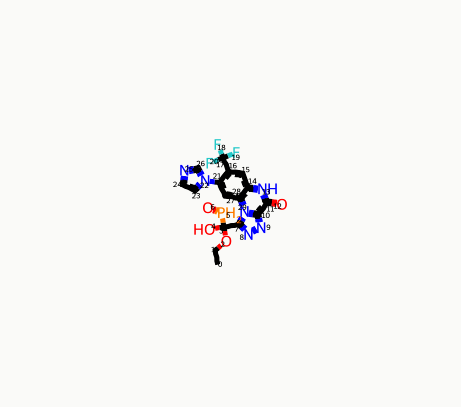 CCOC(O)([PH2]=O)c1nnc2c(=O)[nH]c3cc(C(F)(F)F)c(-n4ccnc4)cc3n12